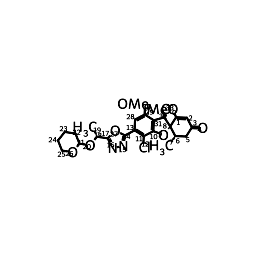 COC1=CC(=O)C[C@@H](C)[C@]12Oc1c(Cl)c(-c3nnc([C@@H](C)OC4CCCCO4)o3)cc(OC)c1C2=O